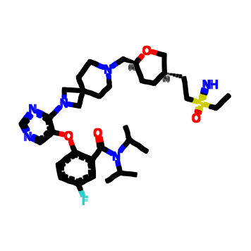 CCS(=N)(=O)CC[C@@H]1CC[C@@H](CN2CCC3(CC2)CN(c2ncncc2Oc2ccc(F)cc2C(=O)N(C(C)C)C(C)C)C3)OC1